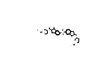 CC(C)(C)OC(=O)N1CC[C@@H](C(=O)C2C(=O)c3ccc(S(=O)(=O)c4ccc5c(c4)C(=O)C(C(=O)[C@@H]4CCN(C(=O)OC(C)(C)C)C4)C5=O)cc3C2=O)C1